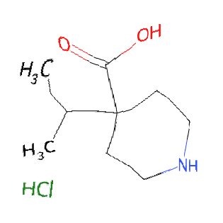 CC(C)C1(C(=O)O)CCNCC1.Cl